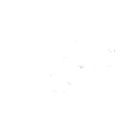 CC(C)C(NC(=O)OCc1ccccc1)C(=O)NC1COCCCCCNC(=O)C1=O